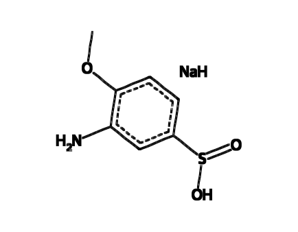 COc1ccc(S(=O)O)cc1N.[NaH]